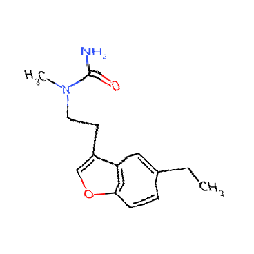 CCc1ccc2occ(CCN(C)C(N)=O)c2c1